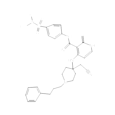 CN(C)S(=O)(=O)c1ccc(NC(=N)c2c(NC3(CC#N)CCN(CCCc4ccccc4)CC3)cc[nH]c2=O)cc1